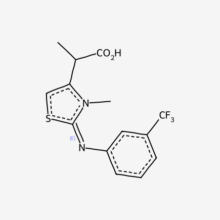 CC(C(=O)O)c1cs/c(=N/c2cccc(C(F)(F)F)c2)n1C